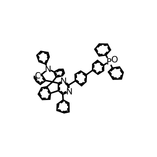 O=P(c1ccccc1)(c1ccccc1)c1ccc(-c2ccc(-c3nc(-c4ccccc4)c4c(n3)C3(c5ccccc5-4)c4ccccc4N(c4ccccc4)c4ccccc43)cc2)cc1